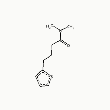 CN(C)C(=O)CCCc1cccs1